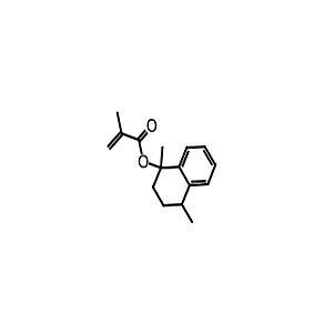 C=C(C)C(=O)OC1(C)CCC(C)c2ccccc21